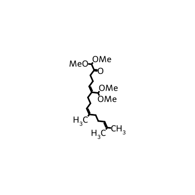 COC(OC)C(=O)CCC=C(CCC=C(C)CCC=C(C)C)C(OC)OC